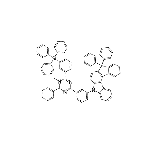 CN1C(c2cccc([Si](c3ccccc3)(c3ccccc3)c3ccccc3)c2)=NC(c2cccc(-n3c4ccccc4c4c5c(ccc43)C(c3ccccc3)(c3ccccc3)c3ccccc3-5)c2)=NC1c1ccccc1